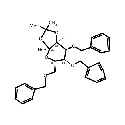 COC1(C)O[C@@H]2O[C@H](COCc3ccccc3)[C@@H](OCc3ccccc3)[C@H](OCc3ccccc3)[C@@H]2O1